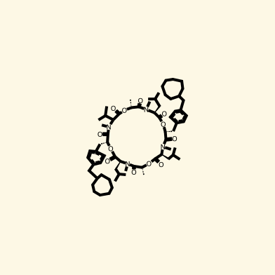 CC(C)C[C@H]1C(=O)O[C@H](Cc2ccc(CC3CCCCCCC3)cc2)C(=O)N(C)[C@@H](CC(C)C)C(=O)O[C@H](C)C(=O)N(C)[C@@H](CC(C)C)C(=O)O[C@H](Cc2ccc(CC3CCCCCCC3)cc2)C(=O)N(C)C(C(C)C)C(=O)O[C@H](C)C(=O)N1C